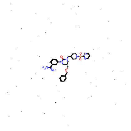 N=C(N)c1cccc(N2CC(COCc3ccccc3)CN(CC3CCN(S(=O)(=O)c4ncccn4)CC3)C2=O)c1